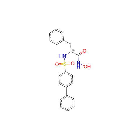 O=C(NO)[C@@H](Cc1ccccc1)NS(=O)(=O)c1ccc(-c2ccccc2)cc1